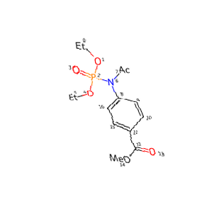 CCOP(=O)(OCC)N(C(C)=O)c1ccc(C(=O)OC)cc1